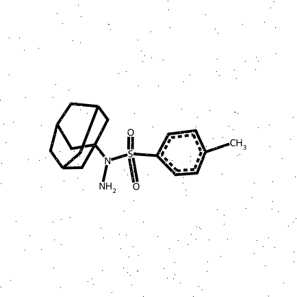 Cc1ccc(S(=O)(=O)N(N)C23CC4CC(CC(C4)C2)C3)cc1